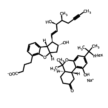 CC#CCC(C)[C@H](O)/C=C/[C@@H]1[C@H]2c3cccc(CCCC(=O)[O-])c3O[C@H]2C[C@H]1O.CCCCCCC(C)(C)c1cc(O)c2c(c1)OC(C)(C)[C@@H]1CCC(=O)C[C@@H]21.[Na+]